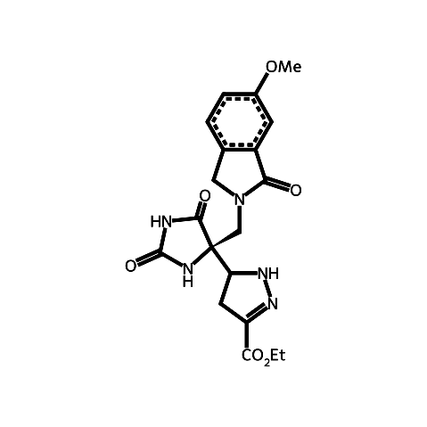 CCOC(=O)C1=NNC([C@]2(CN3Cc4ccc(OC)cc4C3=O)NC(=O)NC2=O)C1